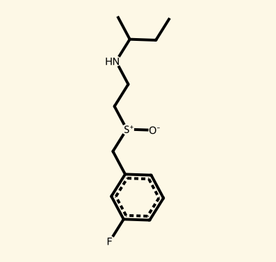 CCC(C)NCC[S+]([O-])Cc1cccc(F)c1